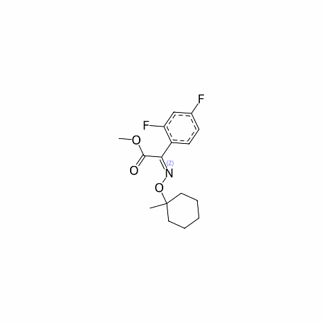 COC(=O)/C(=N\OC1(C)CCCCC1)c1ccc(F)cc1F